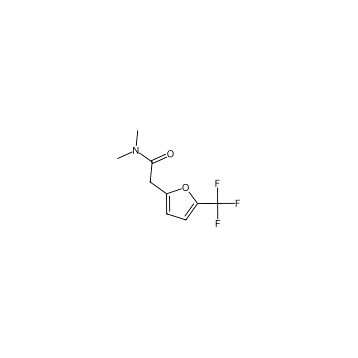 CN(C)C(=O)Cc1ccc(C(F)(F)F)o1